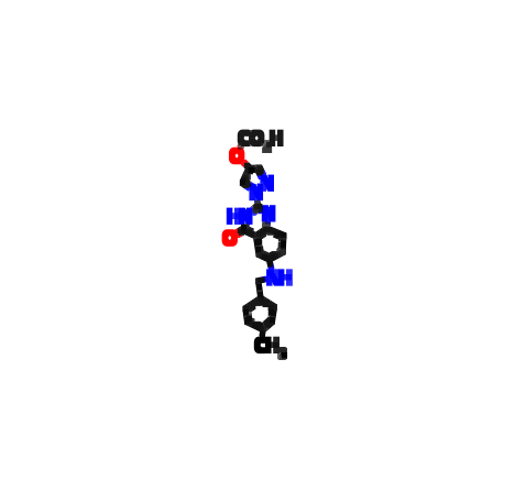 Cc1ccc(CNc2ccc3nc(-n4cc(OC(=O)O)cn4)[nH]c(=O)c3c2)cc1